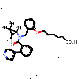 [2H]C1C([2H])([2H])C1([2H])N(Cc1ccccc1OCCCCCC(=O)O)C(=O)c1ccccc1-c1ccncc1